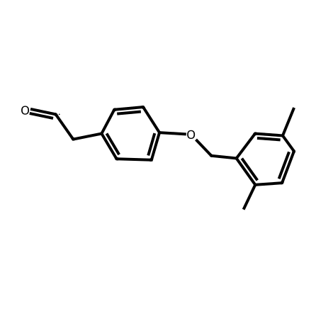 Cc1ccc(C)c(COc2ccc(C[C]=O)cc2)c1